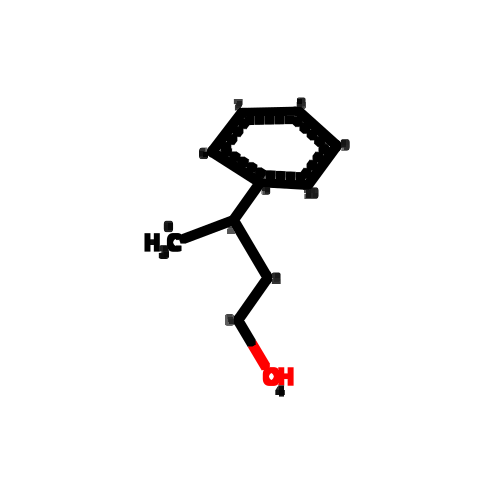 CC(CCO)c1ccccc1